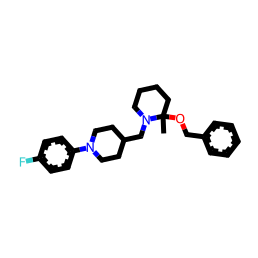 CC1(OCc2ccccc2)CCCCN1CC1CCN(c2ccc(F)cc2)CC1